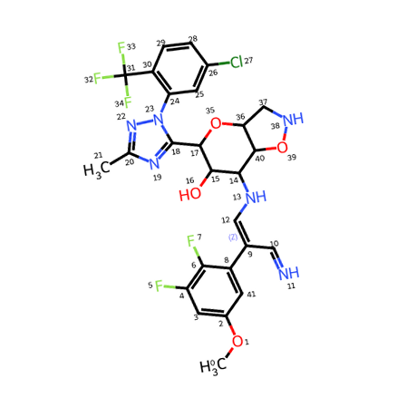 COc1cc(F)c(F)c(/C(C=N)=C/NC2C(O)C(c3nc(C)nn3-c3cc(Cl)ccc3C(F)(F)F)OC3CNOC32)c1